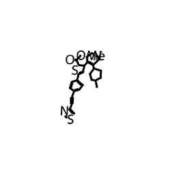 COC(=O)C1SC(c2ccc(C#Cc3cscn3)cc2)=CC1C1=C(C2CCC(C)CC2)CN(C)CC1